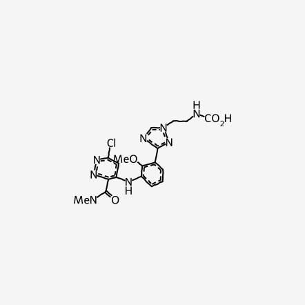 CNC(=O)c1nnc(Cl)cc1Nc1cccc(-c2ncn(CCNC(=O)O)n2)c1OC